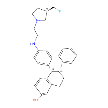 Oc1ccc2c(c1)CC[C@@H](c1ccccc1)[C@H]2c1ccc(NCCN2CC[C@@H](CF)C2)cc1